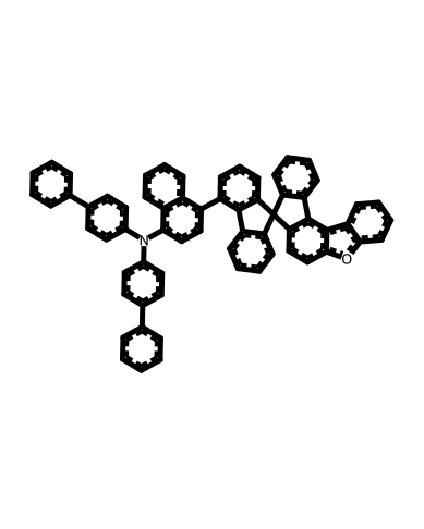 c1ccc(-c2ccc(N(c3ccc(-c4ccccc4)cc3)c3ccc(-c4cccc5c4-c4ccccc4C54c5ccccc5-c5c4ccc4oc6ccccc6c54)c4ccccc34)cc2)cc1